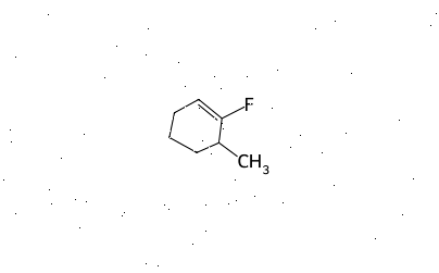 CC1CCCC=C1F